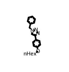 CCCCCCOc1ccc(-c2cn(Cc3ccccc3)nn2)cc1